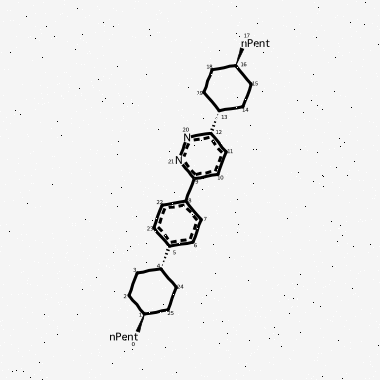 CCCCC[C@H]1CC[C@H](c2ccc(-c3ccc([C@H]4CC[C@H](CCCCC)CC4)nn3)cc2)CC1